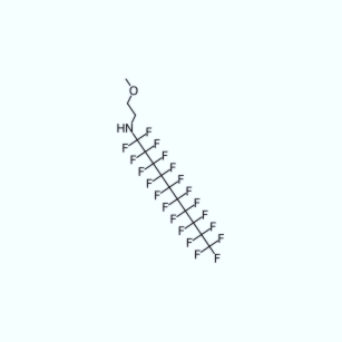 COCCNC(F)(F)C(F)(F)C(F)(F)C(F)(F)C(F)(F)C(F)(F)C(F)(F)C(F)(F)C(F)(F)C(F)(F)F